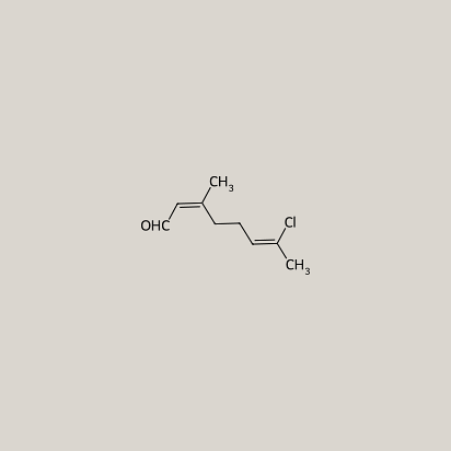 CC(Cl)=CCCC(C)=CC=O